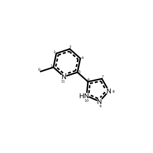 Cc1cccc(-c2cnn[nH]2)n1